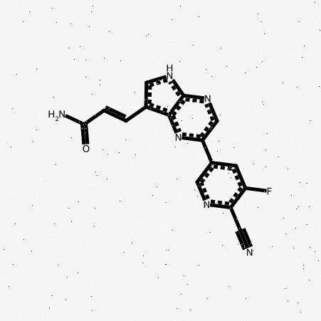 N#Cc1ncc(-c2cnc3[nH]cc(C=CC(N)=O)c3n2)cc1F